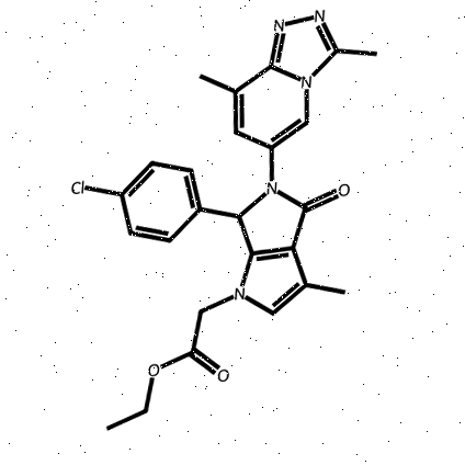 CCOC(=O)Cn1cc(C)c2c1C(c1ccc(Cl)cc1)N(c1cc(C)c3nnc(C)n3c1)C2=O